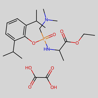 CCOC(=O)C(C)NP(=O)(CN(C)C)Oc1c(C(C)C)cccc1C(C)C.O=C(O)C(=O)O